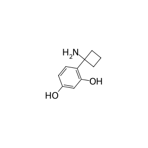 NC1(c2ccc(O)cc2O)CCC1